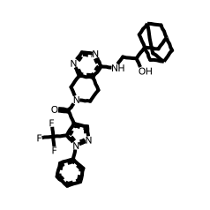 O=C(c1cnn(-c2ccccc2)c1C(F)(F)F)N1CCc2c(ncnc2NCC(O)C23CC4CC(CC(C4)C2)C3)C1